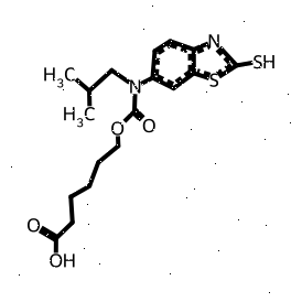 CC(C)CN(C(=O)OCCCCCC(=O)O)c1ccc2nc(S)sc2c1